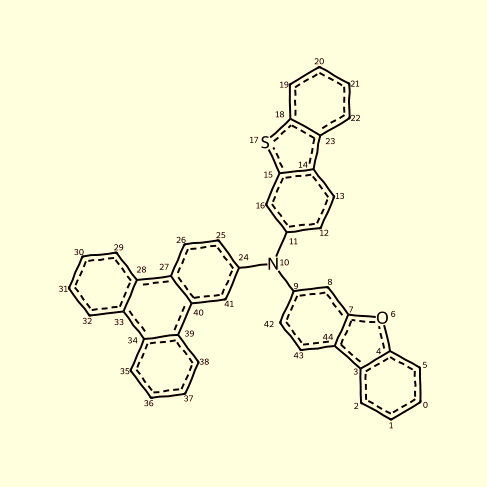 c1ccc2c(c1)oc1cc(N(c3ccc4c(c3)sc3ccccc34)c3ccc4c5ccccc5c5ccccc5c4c3)ccc12